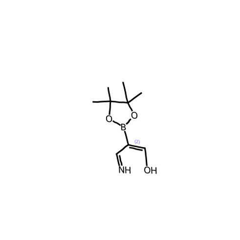 CC1(C)OB(/C(C=N)=C/O)OC1(C)C